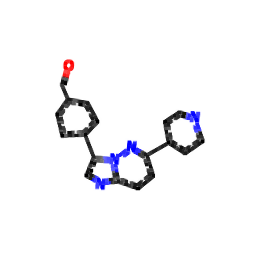 O=Cc1ccc(-c2cnc3ccc(-c4ccncc4)nn23)cc1